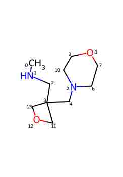 CNCC1(CN2CCOCC2)COC1